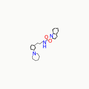 O=C(NCCCc1cccc(N2CCCCCC2)c1)Oc1ccc2ccccc2n1